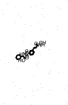 O=C(C=Cc1cccc(S(=O)(=O)N[C@H](C(=O)O)C2CCCCC2)c1)NO